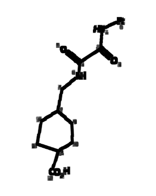 CCNC(=O)C(=O)NCC1CCC(C(=O)O)CC1